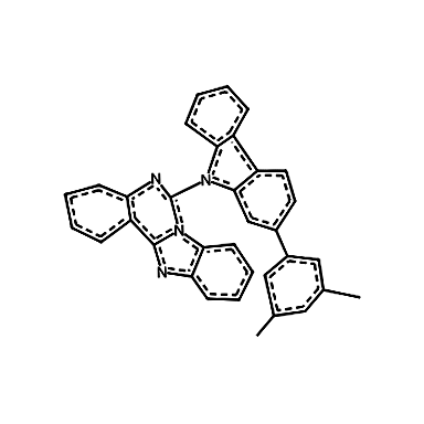 Cc1cc(C)cc(-c2ccc3c4ccccc4n(-c4nc5ccccc5c5nc6ccccc6n45)c3c2)c1